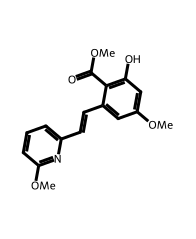 COC(=O)c1c(O)cc(OC)cc1C=Cc1cccc(OC)n1